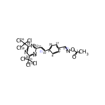 CC(=O)O/N=C/c1ccc(/C=C/c2nc(C(Cl)(Cl)Cl)nc(C(Cl)(Cl)Cl)n2)cc1